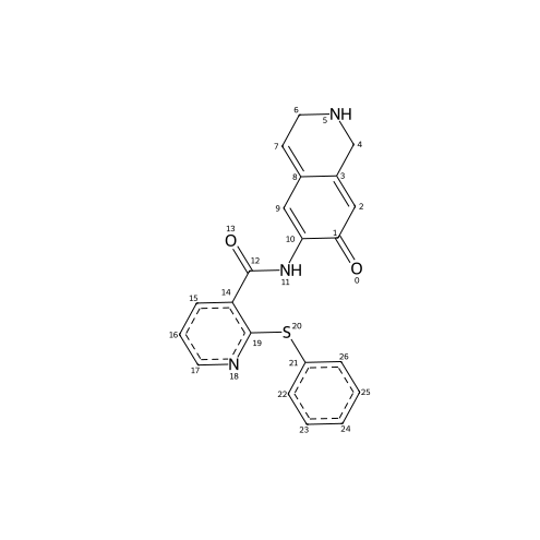 O=C1C=C2CNCC=C2C=C1NC(=O)c1cccnc1Sc1ccccc1